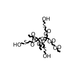 C=CC(=O)OCCC(=O)OCC(COCC(COC(=O)C=C)(COC(=O)C=C)COC(=O)CCSCCO)(COC(=O)CCSCCO)COC(=O)CCSCCO